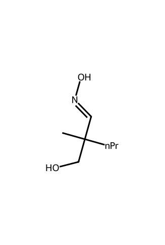 CCCC(C)(C=NO)CO